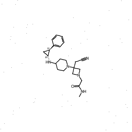 CNC(=O)CN1CC(CC#N)(N2CCC(N[C@@H]3C[C@H]3c3ccccc3)CC2)C1